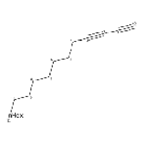 [C]#CC#CCCCCCCCCCCCCC